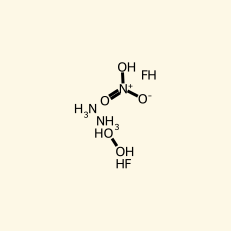 F.F.N.N.O=[N+]([O-])O.OO